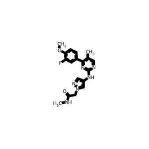 CNC(=O)Cn1cc(Nc2ncc(C)c(-c3ccc(OC)c(F)c3)n2)cn1